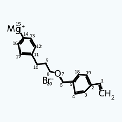 C=Cc1ccc(COCCCc2cc[c]([Mg+])cc2)cc1.[Br-]